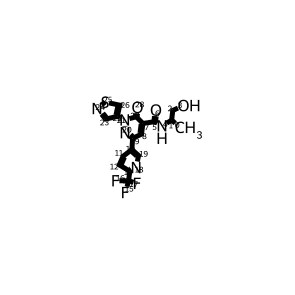 CC(CO)NC(=O)c1cc(-c2ccc(C(F)(F)F)nc2)nn(-c2cnsc2)c1=O